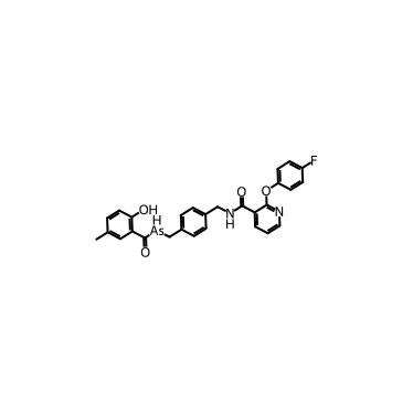 Cc1ccc(O)c(C(=O)[AsH]Cc2ccc(CNC(=O)c3cccnc3Oc3ccc(F)cc3)cc2)c1